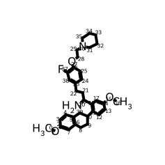 COc1ccc2c(c1)CCC(c1ccc(OC)cc1C(N)CCc1ccc(OCCN3CCCCC3)c(F)c1)C2